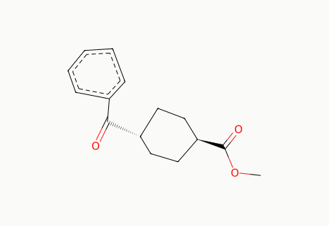 COC(=O)[C@H]1CC[C@H](C(=O)c2ccccc2)CC1